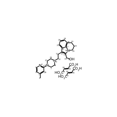 Cc1ccnc(N2CCN(CCc3c(CO)n4c5c(cccc35)CCC4)CC2)c1.O=C(O)C=CC(=O)O.O=C(O)C=CC(=O)O